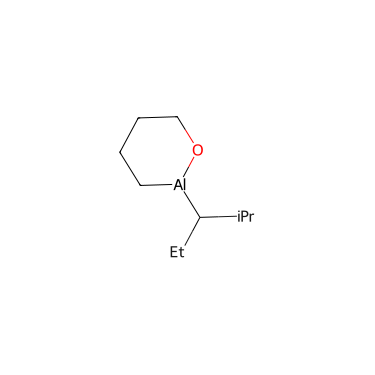 CC[CH](C(C)C)[Al]1[CH2]CCC[O]1